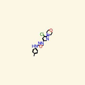 Cc1ccc(NC2=NN(c3cnc(N4CCOCC4)c(Cl)c3)CO2)cc1